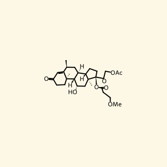 COCCC(=O)O[C@]1(C(=O)COC(C)=O)CC[C@H]2[C@@H]3C[C@H](C)C4=CC(=O)CC[C@]4(C)[C@H]3[C@@H](O)C[C@@]21C